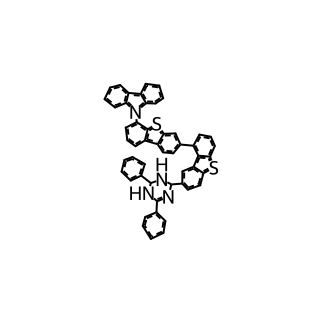 c1ccc(C2=NC(c3ccc4sc5cccc(-c6ccc7c(c6)sc6c(-n8c9ccccc9c9ccccc98)cccc67)c5c4c3)NC(c3ccccc3)N2)cc1